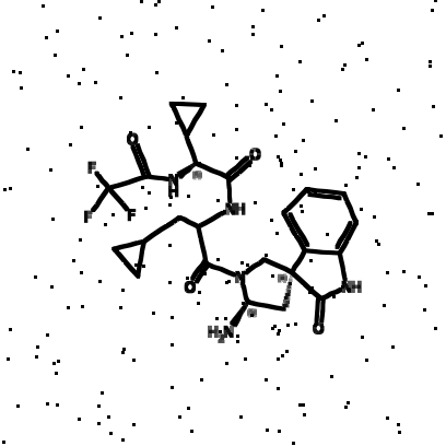 N[C@@H]1C[C@@]2(CN1C(=O)C(CC1CC1)NC(=O)[C@@H](NC(=O)C(F)(F)F)C1CC1)C(=O)Nc1ccccc12